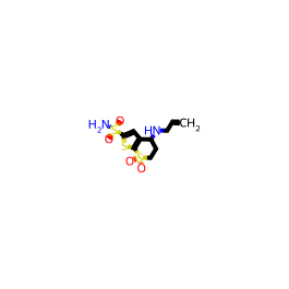 C=CCNC1CCS(=O)(=O)c2sc(S(N)(=O)=O)cc21